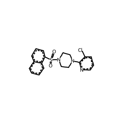 O=S(=O)(c1cccc2ccccc12)N1CCN(c2ncccc2Cl)CC1